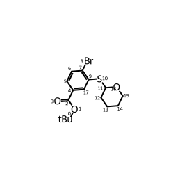 CC(C)(C)OC(=O)c1ccc(Br)c(SC2CCCCO2)c1